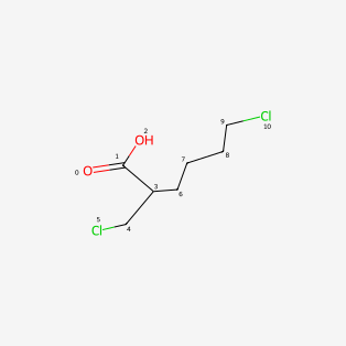 O=C(O)C(CCl)CCCCCl